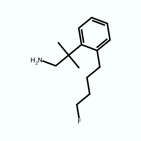 CC(C)(CN)c1ccccc1CCCCF